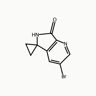 O=C1NC2(CC2)c2cc(Br)cnc21